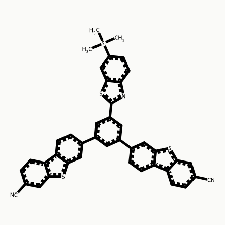 C[Si](C)(C)c1ccc2nc(-c3cc(-c4ccc5c(c4)sc4cc(C#N)ccc45)cc(-c4ccc5c(c4)sc4cc(C#N)ccc45)c3)sc2c1